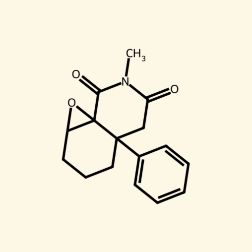 CN1C(=O)CC2(c3ccccc3)CCCC3OC32C1=O